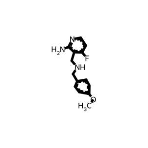 COc1ccc(CNCc2c(F)ccnc2N)cc1